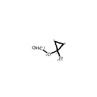 CCC1(O[C]=O)CC1